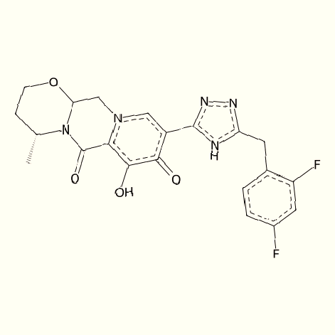 C[C@@H]1CCOC2Cn3cc(-c4nnc(Cc5ccc(F)cc5F)[nH]4)c(=O)c(O)c3C(=O)N21